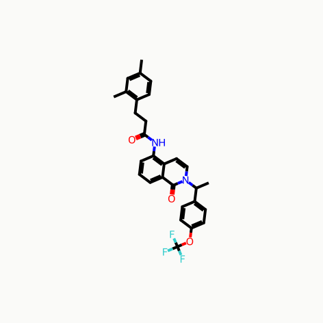 Cc1ccc(CCC(=O)Nc2cccc3c(=O)n(C(C)c4ccc(OC(F)(F)F)cc4)ccc23)c(C)c1